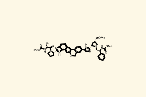 COC[C@H]1C[C@@H](c2ncc(-c3ccc4c(c3)COc3cc5c(ccc6nc([C@@H]7CCCN7C(=O)[C@@H](NC(=O)OC)C(C)C)[nH]c65)cc3-4)[nH]2)N(C[C@H](NC(=O)OC)c2ccccc2)C1